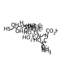 C=C.CC(=O)O.CC(=O)O.CC(=O)O.CC(=O)O.C[S+](C)[O-].C[S+](C)[O-].N.N.O=C(O)CN(CCN(CC(=O)O)CC(=O)O)CC(=O)O.O[C@H](CS)[C@H](O)CS